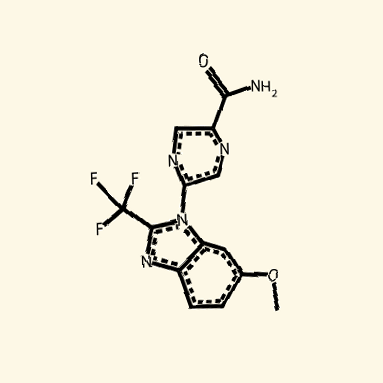 COc1ccc2nc(C(F)(F)F)n(-c3cnc(C(N)=O)cn3)c2c1